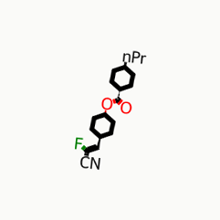 CCC[C@H]1CC[C@H](C(=O)O[C@H]2CC[C@H](C=C(F)C#N)CC2)CC1